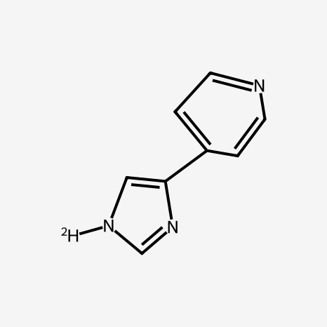 [2H]n1cnc(-c2ccncc2)c1